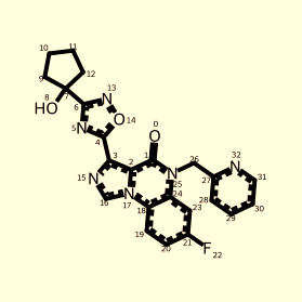 O=c1c2c(-c3nc(C4(O)CCCC4)no3)ncn2c2ccc(F)cc2n1Cc1ccccn1